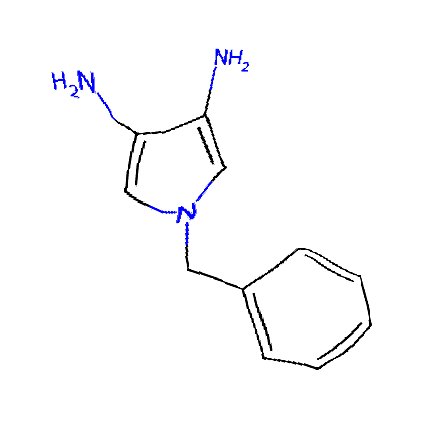 Nc1cn(Cc2ccccc2)cc1N